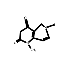 CN1C(=O)CC(=O)C2=C1C=CN(I)C2